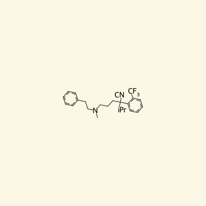 CC(C)C(C#N)(CCCN(C)CCc1ccccc1)c1ccccc1C(F)(F)F